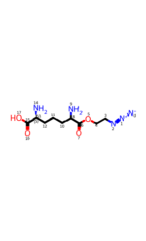 [N-]=[N+]=NCCOC(=O)C(N)CCC[C@H](N)C(=O)O